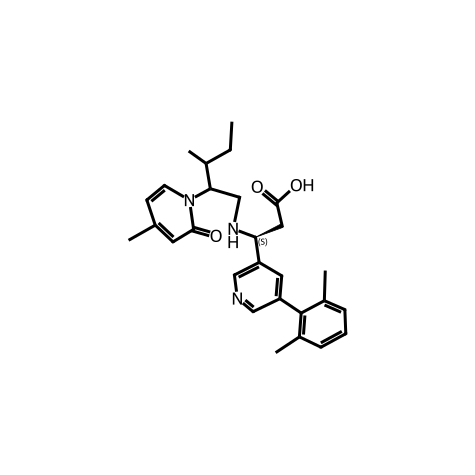 CCC(C)C(CN[C@@H](CC(=O)O)c1cncc(-c2c(C)cccc2C)c1)n1ccc(C)cc1=O